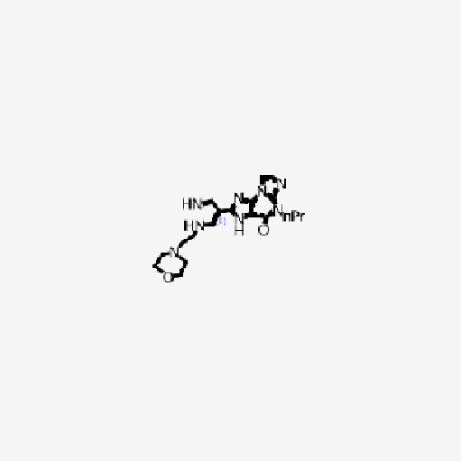 CCCn1c(=O)c2[nH]c(/C(C=N)=C/NCCN3CCOCC3)nc2n2ccnc12